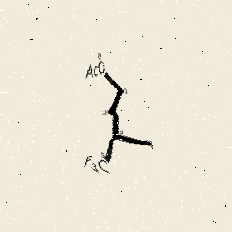 CC(=O)OCCC(C)C(F)(F)F